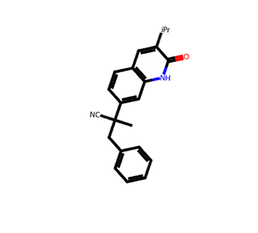 CC(C)c1cc2ccc(C(C)(C#N)Cc3ccccc3)cc2[nH]c1=O